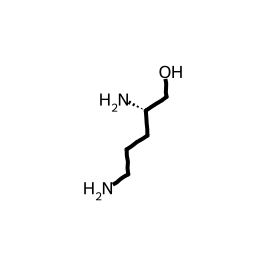 NCCC[C@H](N)CO